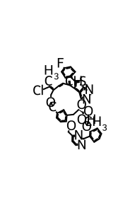 C=C1/C=C\C(=C(/C)Cl)COCc2ccc(OCc3ccnc(-c4ccccc4OC)n3)c(c2)C[C@H](C(=O)O)Oc2ncnc3sc(-c4ccc(F)cc4)c1c23